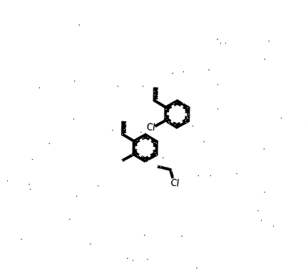 C=Cc1ccccc1C.C=Cc1ccccc1Cl.CCCl